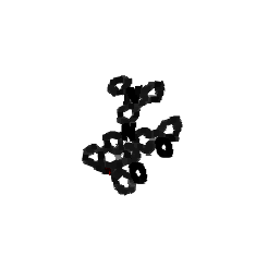 c1ccc(-n2c3ccccc3c3cc(N(c4ccc5c(c4)C4(c6ccccc6Oc6ccccc64)c4cccc6cccc-5c46)c4ccc5oc6ccccc6c5c4)ccc32)cc1